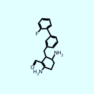 NC1=C(C=O)C(Cc2cccc(-c3ccccc3F)c2)C(N)CC1